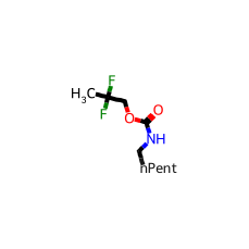 CCCCCCNC(=O)OCC(C)(F)F